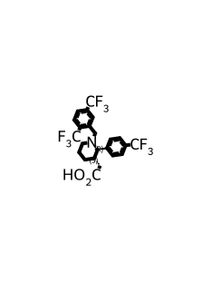 O=C(O)C[C@@H]1CCCN(Cc2cc(C(F)(F)F)ccc2C(F)(F)F)[C@H]1c1ccc(C(F)(F)F)cc1